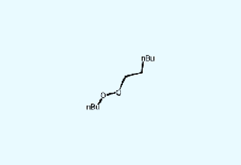 CCCCCCOOCCCC